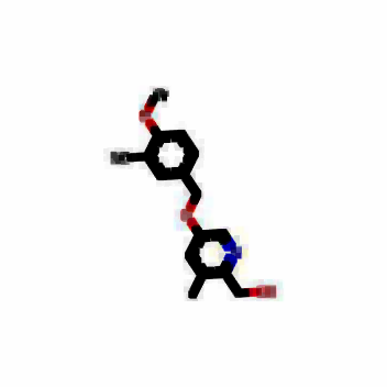 Cc1cc(OCc2ccc(OC(C)C)c(C#N)c2)cnc1CO